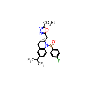 CCOC(=O)c1nnc(C[C@@H]2CCc3cc(C(C(F)(F)F)C(F)(F)F)ccc3N2[S+]([O-])c2ccc(F)cc2)o1